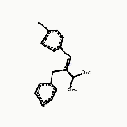 CC(=O)OC(OC(C)=O)/C(=C/c1ccc(C)cc1)Cc1ccccc1